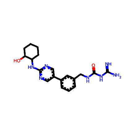 N=C(N)NC(=O)NCc1cccc(-c2cnc(NC3CCCCC3O)nc2)c1